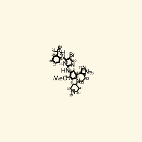 COc1cc2c(cc1Nc1ncc(Br)c(Nc3ccccc3P(C)(C)=S)n1)-c1cnn(C)c1CCN2C1CCN(C)CC1